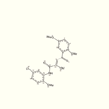 COc1ccc(OC)c(C(=O)/C=C(\O)C(=O)Nc2cc(Cl)ccc2OC)c1